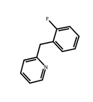 Fc1ccccc1Cc1ccccn1